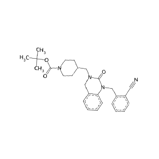 CC(C)(C)OC(=O)N1CCC(CN2Cc3ccccc3N(Cc3ccccc3C#N)C2=O)CC1